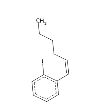 CCCC/C=C\c1ccccc1I